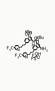 CC(C)(C)OC(=O)Nc1cn(C(=O)OC(C)(C)C)c2ccc(CCCc3ccc(C(F)(F)F)cn3)cc12.Nc1c[nH]c2ccc(CCCc3ccc(C(F)(F)F)cn3)cc12.O=C(O)C(F)(F)F